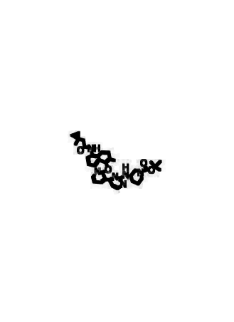 Cc1ccc2c(NC(=O)CC3(C)CC3)cccc2c1Oc1ncccc1-c1ccnc(N[C@H]2CCCN(C(=O)OC(C)(C)C)C2)n1